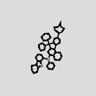 C1=C\C(c2ccc3c(c2)C(c2ccccc2)(c2ccccc2)c2cc(N(c4ccccc4)c4cccc5c4sc4ccccc45)c4ccccc4c2-3)=C/C=C/C=C/1